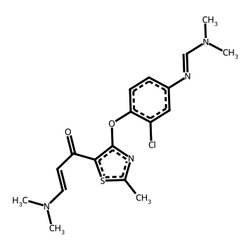 Cc1nc(Oc2ccc(/N=C/N(C)C)cc2Cl)c(C(=O)/C=C/N(C)C)s1